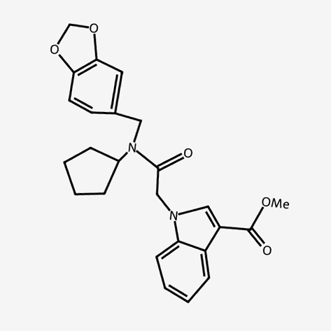 COC(=O)c1cn(CC(=O)N(Cc2ccc3c(c2)OCO3)C2CCCC2)c2ccccc12